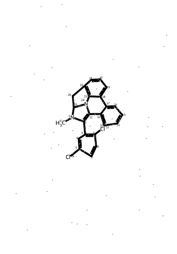 CN1C(c2cc(Cl)ccc2Cl)=C2c3ccccc3-c3cccc4c3N2C1C4